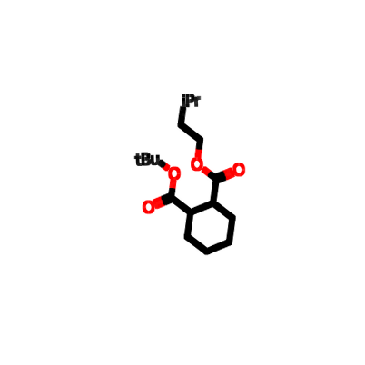 CC(C)CCOC(=O)C1CCCCC1C(=O)OC(C)(C)C